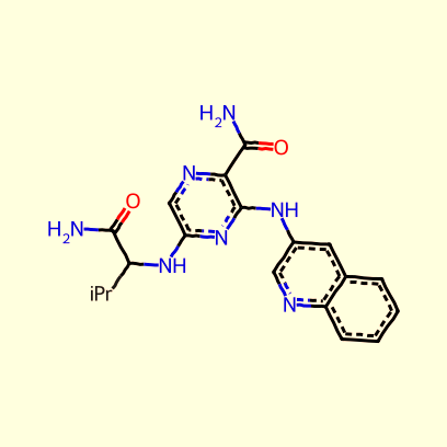 CC(C)C(Nc1cnc(C(N)=O)c(Nc2cnc3ccccc3c2)n1)C(N)=O